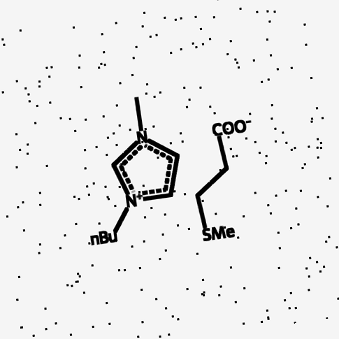 CCCC[n+]1ccn(C)c1.CSCCC(=O)[O-]